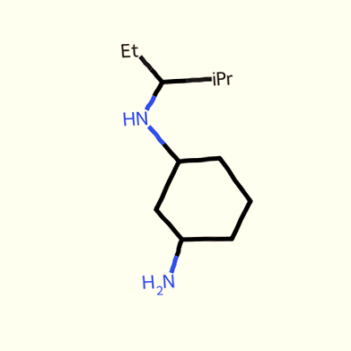 CCC(NC1CCCC(N)C1)C(C)C